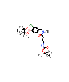 CN(Cc1ccc(B2OC(C)(C)C(C)(C)O2)c(Cl)c1)C(=O)CCCNC(=O)OC(C)(C)C